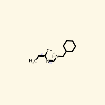 C/C=C(C)\N=C/NCC1CCCCC1